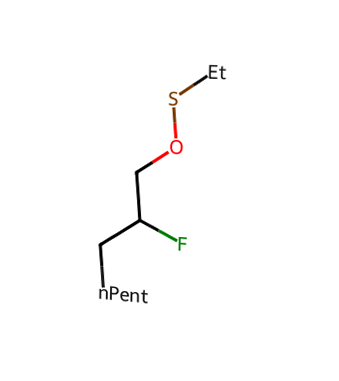 CCCCCCC(F)COSCC